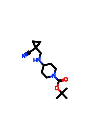 CC(C)(C)OC(=O)N1CCC(NCC2(C#N)CC2)CC1